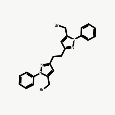 BrCc1cc(CCc2cc(CBr)n(-c3ccccc3)n2)nn1-c1ccccc1